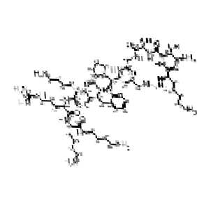 CC(NC(=O)[C@@H](NC(=O)C(N)CCCCN)[C@@H](O)CN)C(=O)NCC(=O)N[C@H](CCCN)C(=O)N1CCC[C@H]1C(=O)NC(Cc1cccnc1)C(=O)N[C@@H](CCCCN)C(=O)N/C(=C\CCNC(=N)N)C(=O)N[C@@H](CCCCN)C(=O)NCCCCN